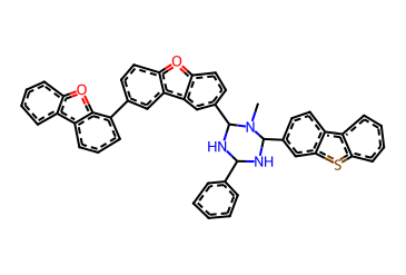 CN1C(c2ccc3c(c2)sc2ccccc23)NC(c2ccccc2)NC1c1ccc2oc3ccc(-c4cccc5c4oc4ccccc45)cc3c2c1